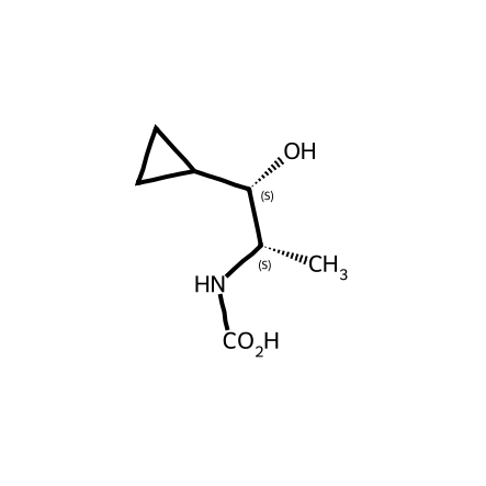 C[C@H](NC(=O)O)[C@@H](O)C1CC1